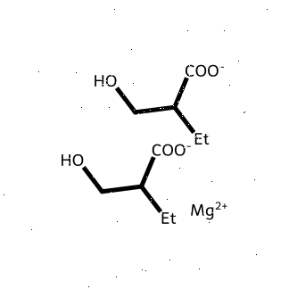 CCC(CO)C(=O)[O-].CCC(CO)C(=O)[O-].[Mg+2]